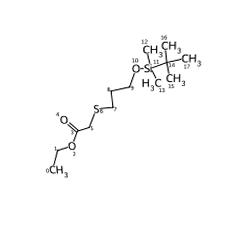 CCOC(=O)CSCCCO[Si](C)(C)C(C)(C)C